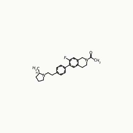 CC(=O)N1CCc2cc(-c3ccc(CCN4CCC[C@H]4C)cc3)c(F)cc2C1